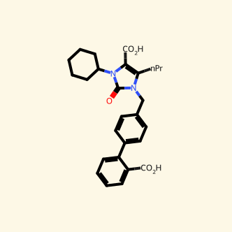 CCCc1c(C(=O)O)n(C2CCCCC2)c(=O)n1Cc1ccc(-c2ccccc2C(=O)O)cc1